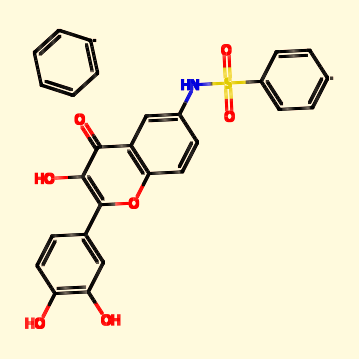 O=c1c(O)c(-c2ccc(O)c(O)c2)oc2ccc(NS(=O)(=O)c3cc[c]cc3)cc12.[c]1ccccc1